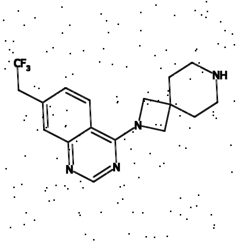 FC(F)(F)Cc1ccc2c(N3CC4(CCNCC4)C3)ncnc2c1